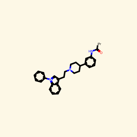 CC(C)C(=O)Nc1cccc(C2CCN(CCc3cn(-c4ccccc4)c4ccccc34)CC2)c1